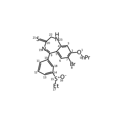 CCCOc1cc2c(cc1Br)C(c1cccc([S+]([O-])CC)c1)=NC(=S)CN2